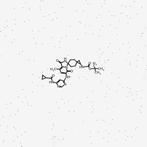 Cc1cc(Nc2cc(NC(=O)C3CC3)ncn2)c(=O)n2c1C(=O)NC21CCC2(CC1)CC2NC(=O)OC(C)(C)C